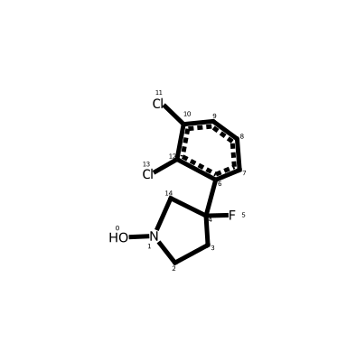 ON1CCC(F)(c2cccc(Cl)c2Cl)C1